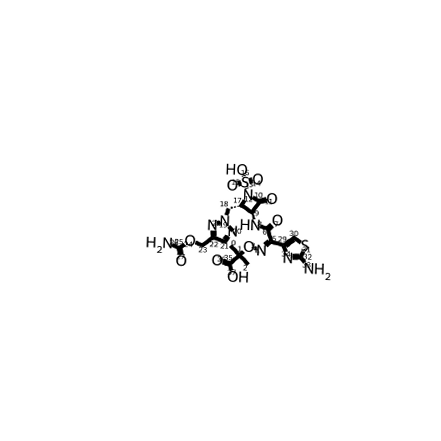 CC(C)(ON=C(C(=O)N[C@@H]1C(=O)N(S(=O)(=O)O)[C@H]1Cn1ncc(COC(N)=O)n1)c1csc(N)n1)C(=O)O